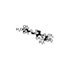 Cc1c(B2OC(C)(C)C(C)(C)O2)cnn1COCC[Si](C)(C)C